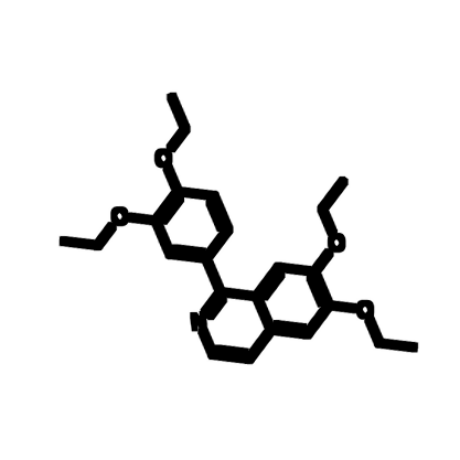 CCOc1ccc(-c2nccc3cc(OCC)c(OCC)cc23)cc1OCC